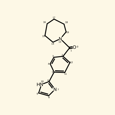 O=C(c1ccc(-c2ncc[nH]2)cc1)N1CCCCCC1